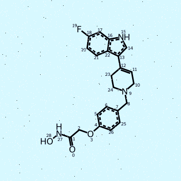 O=C(COc1ccc(CN2CC=C(c3c[nH]c4cc(F)ccc34)CC2)cc1)NO